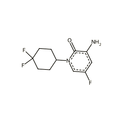 Nc1cc(F)cn(C2CCC(F)(F)CC2)c1=O